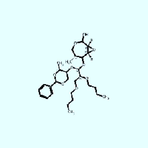 CCCCOC[C@H](OCCCC)[C@@H](OC1COC(c2ccccc2)O[C@H]1C)OC1[C@H](C)COC(O)[C@@H]2O[C@H]12